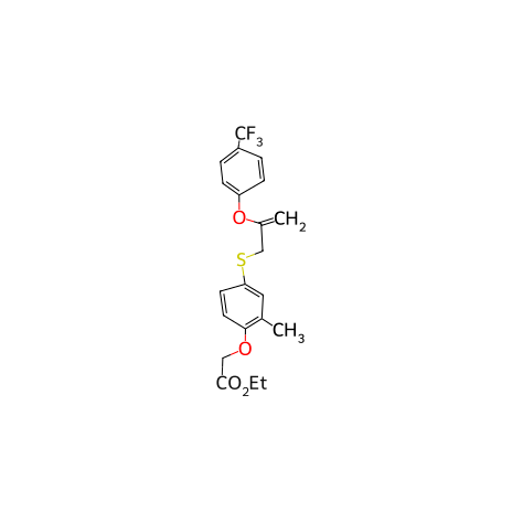 C=C(CSc1ccc(OCC(=O)OCC)c(C)c1)Oc1ccc(C(F)(F)F)cc1